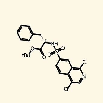 CC(C)(C)OC(=O)[C@H](Cc1ccccc1)NS(=O)(=O)c1ccc2c(Cl)cnc(Cl)c2c1